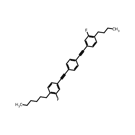 CCCCCCc1ccc(C#Cc2ccc(C#Cc3ccc(CCCC)c(F)c3)cc2)cc1F